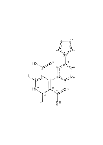 CC1=C(C(=O)O)C(c2cccc(-n3ccnc3)c2)=C(C(=O)O)C(C)N1